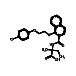 CCC(C)(NC(=O)c1ccc2ccccc2c1OCCOc1ccc(Cl)cc1)C(=O)O